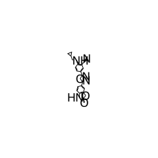 N#Cc1cc(-c2nnc(-c3ccc4[nH]c(=O)oc4c3)o2)ccc1NCC1CC1